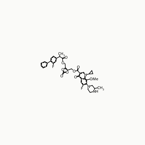 COc1c(N2CCNC(C)C2)c(F)cc2c(=O)c(C(=O)OCc3oc(=O)oc3COC(=O)C(C)c3ccc(-c4ccccc4)c(F)c3)cn(C3CC3)c12